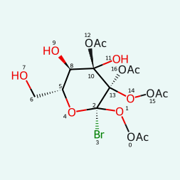 CC(=O)OO[C@@]1(Br)O[C@H](CO)[C@@H](O)[C@@](O)(OC(C)=O)[C@]1(OOC(C)=O)OC(C)=O